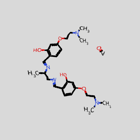 CC(CN=Cc1ccc(OCCN(C)C)cc1O)N=Cc1ccc(OCCN(C)C)cc1O.[O]=[V]